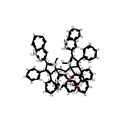 C[Si]1=C(c2cc3ccccc3nn2)C(c2ccccc2)=C(c2ccccc2)C1(CCC1(c2cc3ccccc3nn2)C(c2ccccc2)=C(c2ccccc2)C(c2cc3ccccc3nn2)=[Si]1C)c1cc2ccccc2nn1